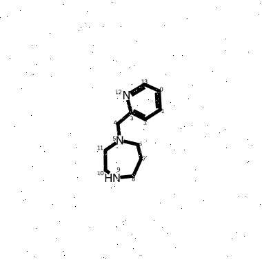 c1ccc(CN2CCCNCC2)nc1